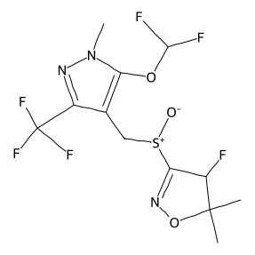 Cn1nc(C(F)(F)F)c(C[S+]([O-])C2=NOC(C)(C)C2F)c1OC(F)F